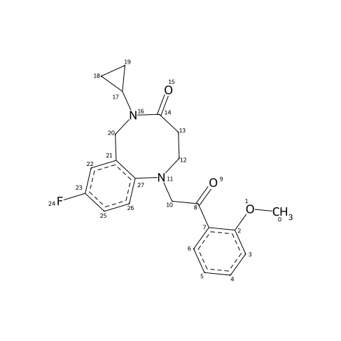 COc1ccccc1C(=O)CN1CCC(=O)N(C2CC2)Cc2cc(F)ccc21